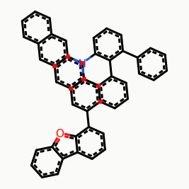 c1ccc(-c2ccccc2-c2c(-c3ccccc3)cccc2N(c2ccc(-c3cccc4c3oc3ccccc34)cc2)c2ccc3ccccc3c2)cc1